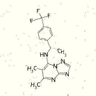 Cc1nc2ncnn2c(N[C@@H](C)c2ccc(C(F)(F)F)cc2)c1C